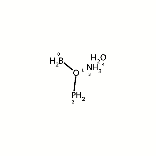 BOP.N.O